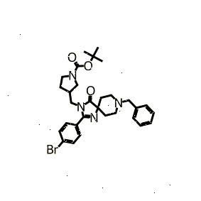 CC(C)(C)OC(=O)N1CCC(CN2C(=O)C3(CCN(Cc4ccccc4)CC3)N=C2c2ccc(Br)cc2)C1